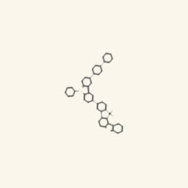 CC1(C)c2ccc(-c3ccc4c(c3)c3cc(-c5ccc(-c6ccccc6)cc5)ccc3n4-c3ccccc3)cc2-c2ccc3sc4ccccc4c3c21